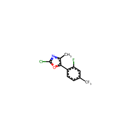 Cc1nc(Cl)oc1-c1ccc(C(F)(F)F)cc1F